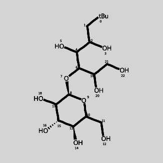 CC(C)(C)CC(O)C(O)C(O[C@H]1OC(CO)[C@@H](O)[C@H](O)C1O)C(O)CO